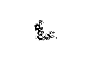 C[C@@H](O)[C@@H](CO)O[C@H](O)n1ccc(=O)n(Cc2noc3c(OC(F)(F)F)cccc23)c1=O